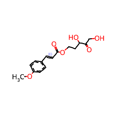 COc1ccc(/C=C/C(=O)OCCC(O)C(=O)CO)cc1